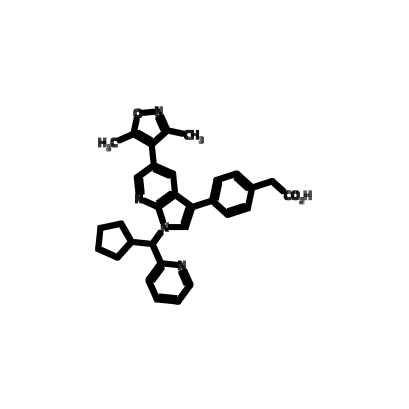 Cc1noc(C)c1-c1cnc2c(c1)c(-c1ccc(CC(=O)O)cc1)cn2C(c1ccccn1)C1CCCC1